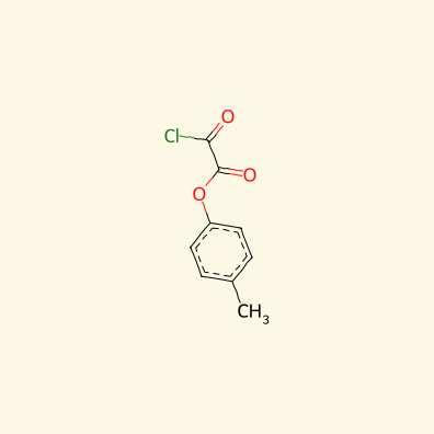 Cc1ccc(OC(=O)C(=O)Cl)cc1